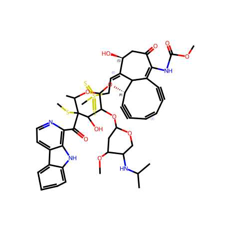 COC(=O)NC1=C2C#C/C=C\C#C[C@H](OC3OC(C)C(SC)(C(=O)c4nccc5c4[nH]c4ccccc45)C(O)C3OC3CC(OC)C(NC(C)C)CO3)C2/C(=C\CS(C)(=S)=S)[C@@H](O)CC1=O